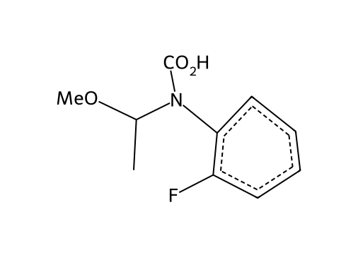 COC(C)N(C(=O)O)c1ccccc1F